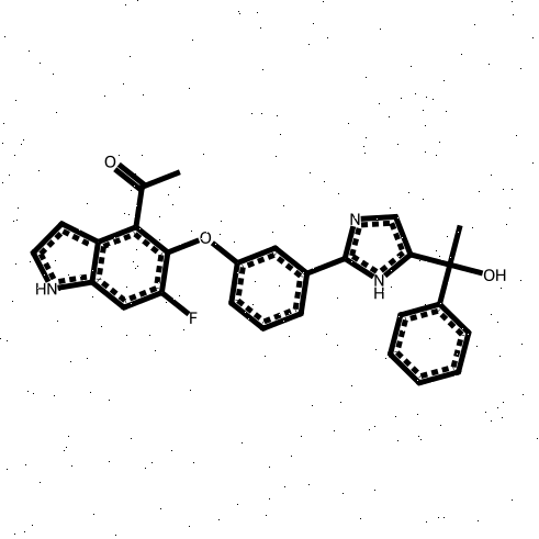 CC(=O)c1c(Oc2cccc(-c3ncc(C(C)(O)c4ccccc4)[nH]3)c2)c(F)cc2[nH]ccc12